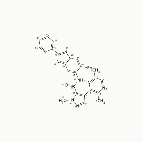 Cc1cnc(C)c(-c2cnn(C)c2C(=O)Nc2cc3nc(-c4ccccc4)nn3cc2F)n1